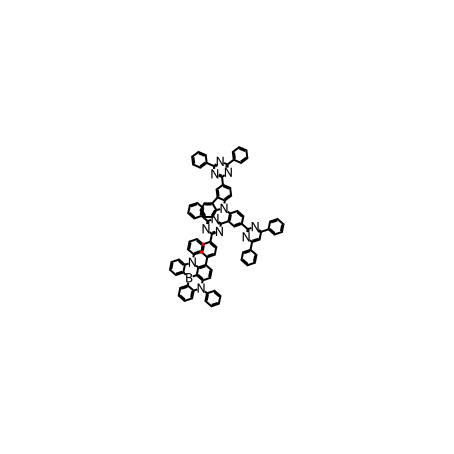 c1ccc(-c2cc(-c3ccccc3)nc(-c3ccc(-n4c5ccccc5c5cc(-c6nc(-c7ccccc7)nc(-c7ccccc7)n6)ccc54)c(-c4nc(-c5ccccc5)nc(-c5ccc(-c6ccc7c8c6N(c6ccccc6)c6ccccc6B8c6ccccc6N7c6ccccc6)cc5)n4)c3)n2)cc1